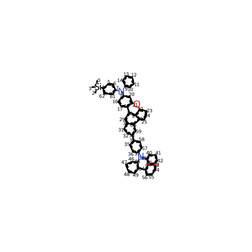 C[Si](C)(C)c1ccc(N(c2ccccc2)c2ccc3c(c2)Oc2cccc4c2c-3cc2ccc(-c3ccc(N(c5ccccc5)c5ccccc5-c5ccccc5)cc3)cc24)cc1